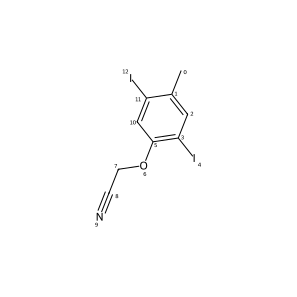 Cc1cc(I)c(OCC#N)cc1I